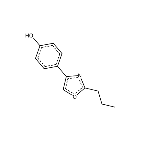 CCCc1nc(-c2ccc(O)cc2)co1